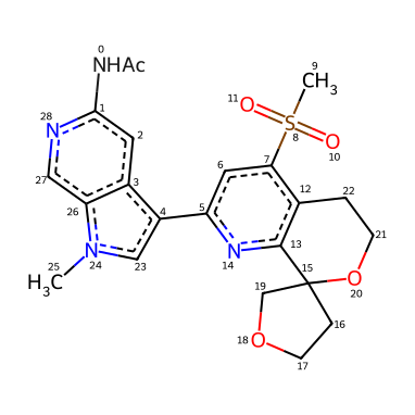 CC(=O)Nc1cc2c(-c3cc(S(C)(=O)=O)c4c(n3)C3(CCOC3)OCC4)cn(C)c2cn1